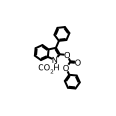 O=C(Oc1ccccc1)Oc1c(-c2ccccc2)c2ccccc2n1C(=O)O